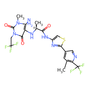 Cc1cc(-c2nc(NC(=O)[C@H](C)Nc3c(N)n(C)c(=O)n(CC(F)(F)F)c3=O)cs2)cnc1C(F)(F)F